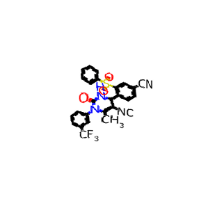 [C-]#[N+]C1=C(C)N(c2cccc(C(F)(F)F)c2)C(=O)NC1c1ccc(C#N)cc1S(=O)(=O)c1ccccc1